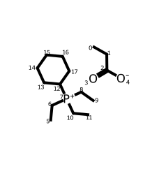 CCC(=O)[O-].CC[P+](CC)(CC)C1CCCCC1